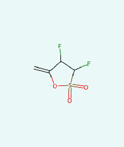 C=C1OS(=O)(=O)C(F)C1F